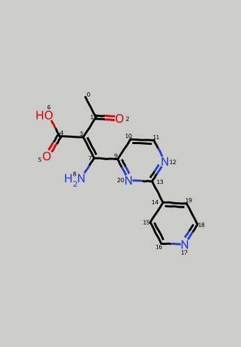 CC(=O)/C(C(=O)O)=C(/N)c1ccnc(-c2ccncc2)n1